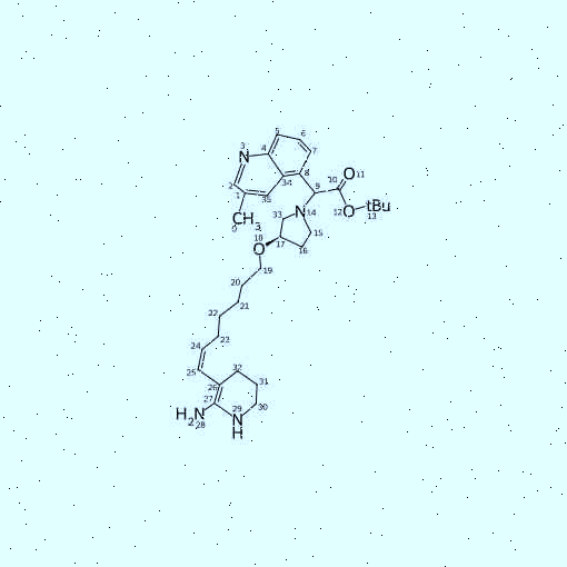 Cc1cnc2cccc(C(C(=O)OC(C)(C)C)N3CC[C@@H](OCCCCC/C=C\C4=C(N)NCCC4)C3)c2c1